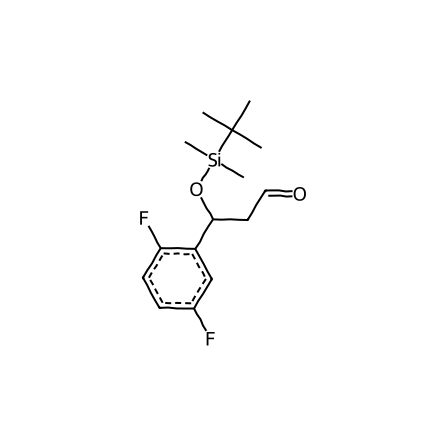 CC(C)(C)[Si](C)(C)OC(CC=O)c1cc(F)ccc1F